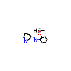 C[SiH](C)Oc1ccccc1N=Cc1cccnc1